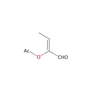 CC=C(C=O)OC(C)=O